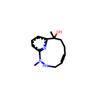 CN1NC/C=C\CCC(C)(O)c2cccc1n2